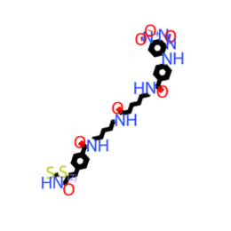 O=C(CCCCCNC(=O)c1ccc(Nc2ccc([N+](=O)[O-])c3nonc23)cc1)NCCCCCNC(=O)c1ccc(/C=C2\SC(=S)NC2=O)cc1